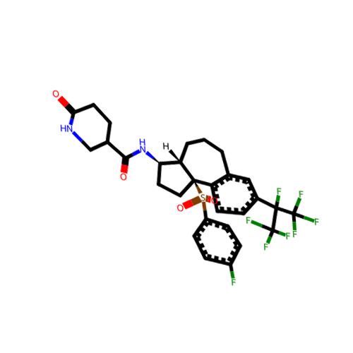 O=C1CCC(C(=O)N[C@@H]2CC[C@@]3(S(=O)(=O)c4ccc(F)cc4)c4ccc(C(F)(C(F)(F)F)C(F)(F)F)cc4CCC[C@@H]23)CN1